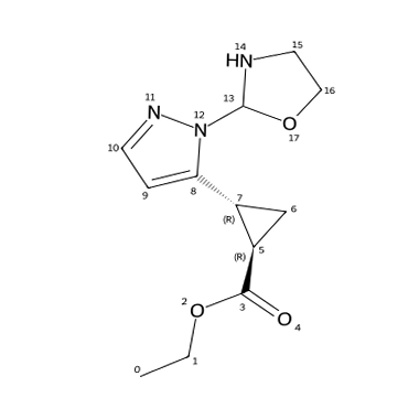 CCOC(=O)[C@@H]1C[C@H]1c1ccnn1C1NCCO1